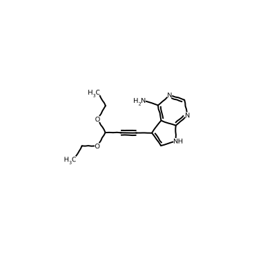 CCOC(C#Cc1c[nH]c2ncnc(N)c12)OCC